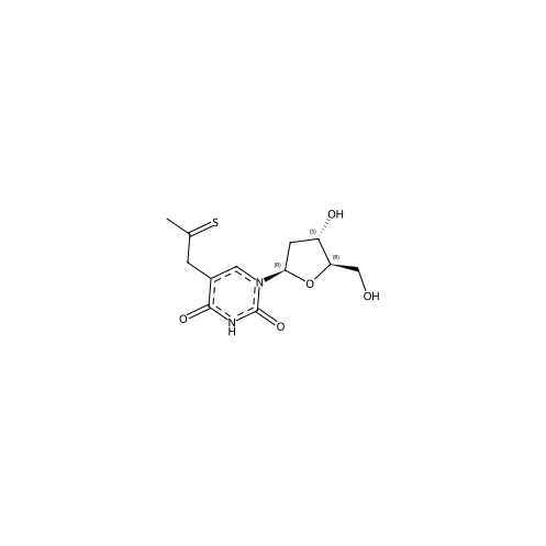 CC(=S)Cc1cn([C@H]2C[C@H](O)[C@@H](CO)O2)c(=O)[nH]c1=O